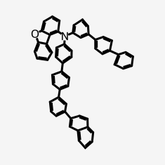 c1ccc(-c2ccc(-c3cccc(N(c4ccc(-c5ccc(-c6cccc(-c7ccc8ccccc8c7)c6)cc5)cc4)c4cccc5oc6ccccc6c45)c3)cc2)cc1